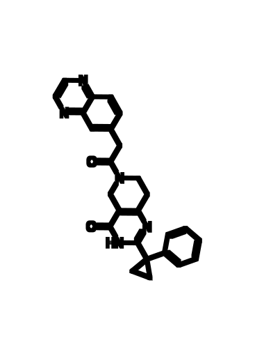 O=C(Cc1ccc2nccnc2c1)N1CCc2nc(C3(c4ccccc4)CC3)[nH]c(=O)c2C1